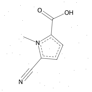 Cn1c(C#N)ccc1C(=O)O